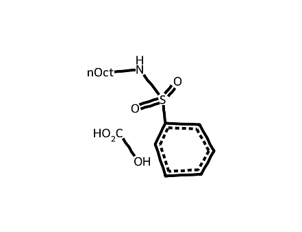 CCCCCCCCNS(=O)(=O)c1ccccc1.O=C(O)O